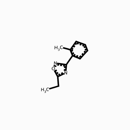 CCc1nc(-c2ccccc2C)no1